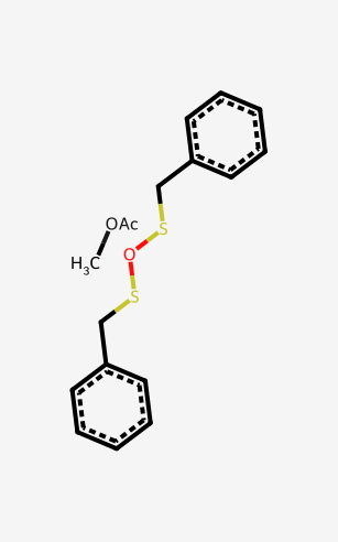 COC(C)=O.c1ccc(CSOSCc2ccccc2)cc1